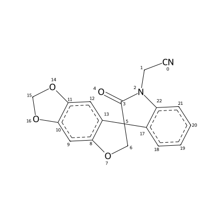 N#CCN1C(=O)C2(COc3cc4c(cc32)OCO4)c2ccccc21